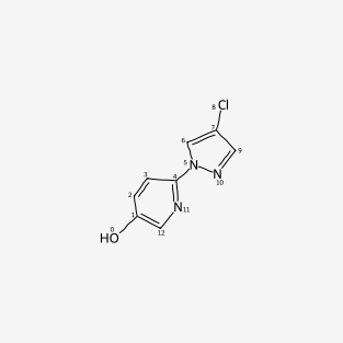 Oc1ccc(-n2cc(Cl)cn2)nc1